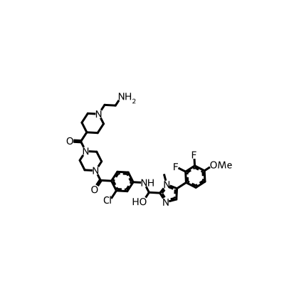 COc1ccc(-c2cnc(C(O)Nc3ccc(C(=O)N4CCN(C(=O)C5CCN(CCN)CC5)CC4)c(Cl)c3)n2C)c(F)c1F